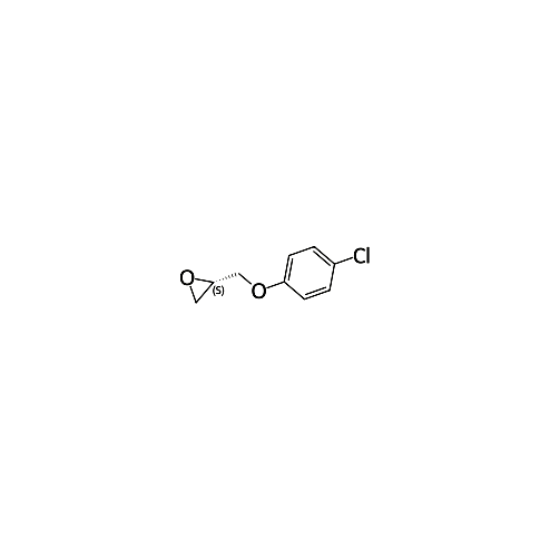 Clc1ccc(OC[C@@H]2CO2)cc1